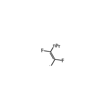 [CH2]/C(F)=C(\F)CCC